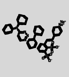 O=S(=O)([O-])c1cccc(C=Cc2ccccc2)c1S(=O)(=O)[O-].[Na+].[Na+].c1ccc(-c2ccccc2)cc1.c1ccc(N(c2ccccc2)c2ccnnn2)cc1